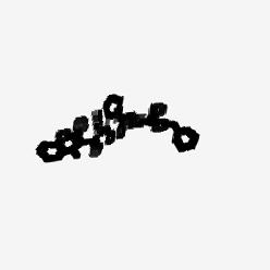 Cc1c(C(=O)NC(=O)[C@@H]2CCCN2C(=O)CNC(=O)OCc2ccccc2)c(=O)oc2ccccc12